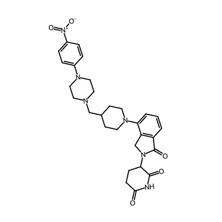 O=C1CCC(N2Cc3c(cccc3N3CCC(CN4CCN(c5ccc([N+](=O)[O-])cc5)CC4)CC3)C2=O)C(=O)N1